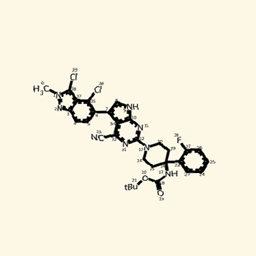 Cn1nc2ccc(-c3c[nH]c4nc(N5CCC(NC(=O)OC(C)(C)C)(c6ccccc6F)CC5)nc(C#N)c34)c(Cl)c2c1Cl